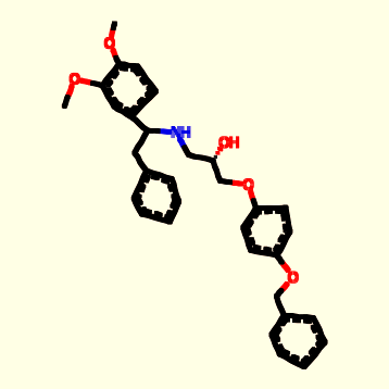 COc1ccc(C(Cc2ccccc2)NC[C@H](O)COc2ccc(OCc3ccccc3)cc2)cc1OC